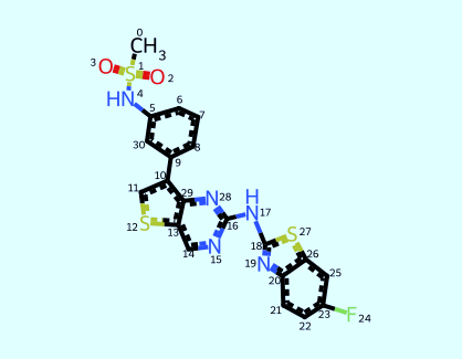 CS(=O)(=O)Nc1cccc(-c2csc3cnc(Nc4nc5ccc(F)cc5s4)nc23)c1